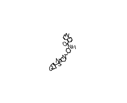 O=C(N[C@H]1CC[C@H](CCN2CCc3sc(C4=CCOCC4)nc3C2)CC1)c1cccc2ncccc12